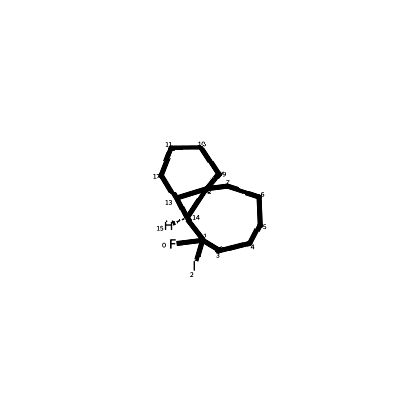 FC1(I)CCCCCC23CCCCC2[C@H]13